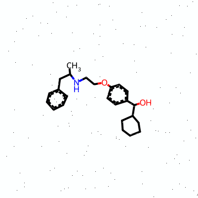 CC(Cc1ccccc1)NCCOc1ccc(C(O)C2CCCCC2)cc1